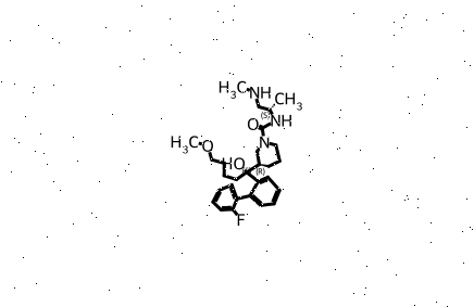 CNC[C@H](C)NC(=O)N1CCC[C@@H]([C@@](O)(CCCCOC)c2ccccc2-c2ccccc2F)C1